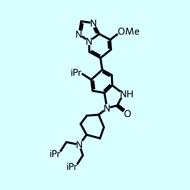 COc1cc(-c2cc3[nH]c(=O)n(C4CCC(N(CC(C)C)CC(C)C)CC4)c3cc2C(C)C)cn2ncnc12